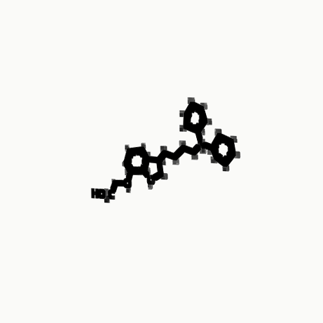 O=C(O)COc1cccc2c1OCC2CCCCN(c1ccccc1)c1ccccc1